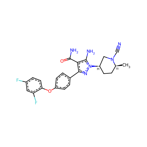 C[C@H]1CC[C@@H](n2nc(-c3ccc(Oc4ccc(F)cc4F)cc3)c(C(N)=O)c2N)CN1C#N